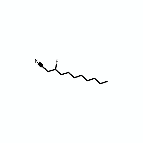 CCCCCCCCC(F)CC#N